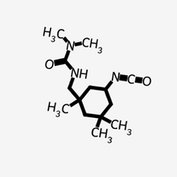 CN(C)C(=O)NCC1(C)CC(N=C=O)CC(C)(C)C1